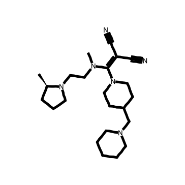 C[C@@H]1CCCN1CCN(C)C(=C(C#N)C#N)N1CCC(CN2CCCCC2)CC1